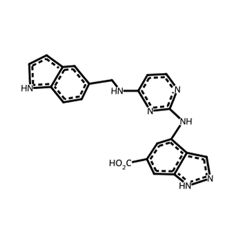 O=C(O)c1cc(Nc2nccc(NCc3ccc4[nH]ccc4c3)n2)c2cn[nH]c2c1